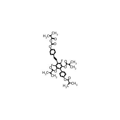 C=C(C)C(=O)OC(=O)Oc1ccc(C#Cc2c(F)c(OC(=O)C(=C)C)c(-c3ccc(OC(=O)C(=C)C)cc3)c(OC(=O)C(=C)C)c2F)cc1